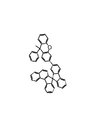 CC1(c2ccccc2)c2ccccc2Oc2cc(-c3ccc4c(c3)C3(c5ccccc5-4)c4ccccc4-c4c3ccc3ccccc43)ccc21